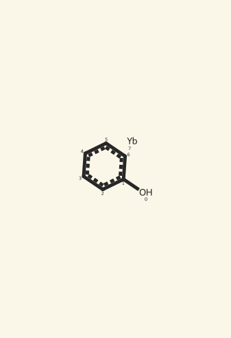 Oc1ccccc1.[Yb]